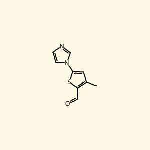 Cc1cc(-n2ccnc2)sc1C=O